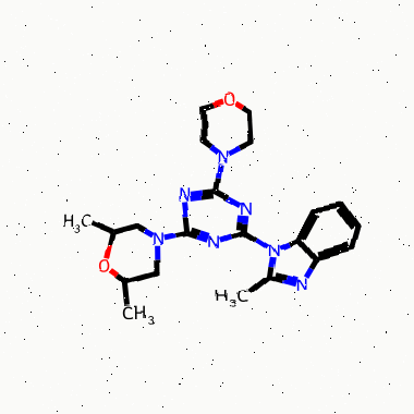 Cc1nc2ccccc2n1-c1nc(N2CCOCC2)nc(N2CC(C)OC(C)C2)n1